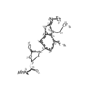 CC/N=c1/oc2cc(N3C[C@H](C(=O)NC)OC3=O)cc(F)c2n1CC(F)(F)F